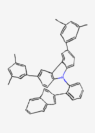 Cc1cc(C)cc(-c2ccc3c(c2)c2cc(-c4cc(C)cc(C)c4)ccc2n3-c2ccccc2-c2ccc3ccccc3c2)c1